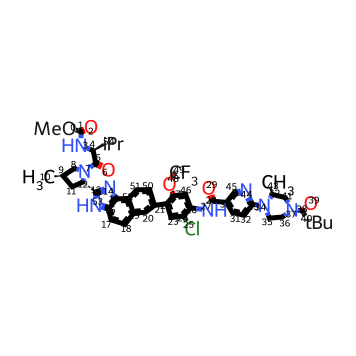 COC(=O)N[C@H](C(=O)N1C[C@@H](C)C[C@H]1c1nc2c(ccc3cc(-c4cc(Cl)c(NC(=O)c5ccc(N6CCN(C(=O)C(C)(C)C)C[C@H]6C)nc5)cc4OC(F)(F)F)ccc32)[nH]1)C(C)C